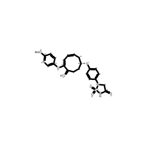 C=C1CC[C@@H](Oc2ccc(N3CC(=O)NS3(=O)=O)cc2)C/C=C\C=C/1Oc1ccc(OC)nc1